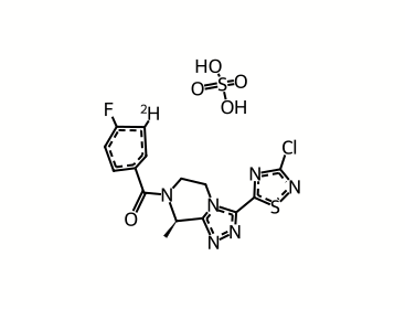 O=S(=O)(O)O.[2H]c1cc(C(=O)N2CCn3c(-c4nc(Cl)ns4)nnc3[C@H]2C)ccc1F